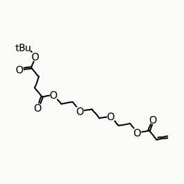 C=CC(=O)OCCOCCOCCOC(=O)CCC(=O)OC(C)(C)C